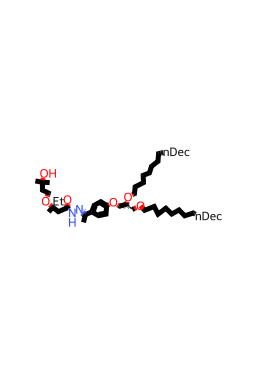 CCCCCCCCCCCCCCCCCCOC[C@H](COc1ccc(/C(C)=N/NC(=O)CC(C)(CC)OCCC(C)(C)O)cc1)OCCCCCCCCCCCCCCCCCC